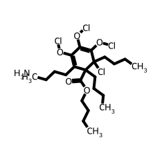 CCCCOC(=O)C1(CCCC)C(CCCC)=C(OCl)C(OCl)=C(OCl)C1(Cl)CCCC.N